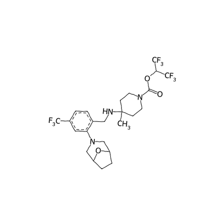 CC1(NCc2ccc(C(F)(F)F)cc2N2CC3CCC(C2)O3)CCN(C(=O)OC(C(F)(F)F)C(F)(F)F)CC1